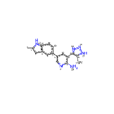 Cc1cc2cc(-c3cnc(N)c(-c4nn[nH]c4C(C)C)c3)ccc2[nH]1